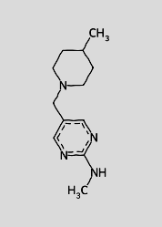 CNc1ncc(CN2CCC(C)CC2)cn1